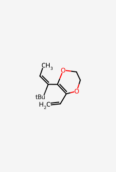 C=CC1=C(/C(=C\C)C(C)(C)C)OCCO1